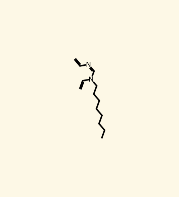 C=C/N=C\N(C=C)CCCCCCCC